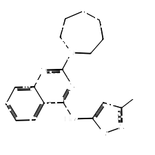 Cc1cc(Nc2nc(N3CCCCCC3)nc3ccccc23)[nH]n1